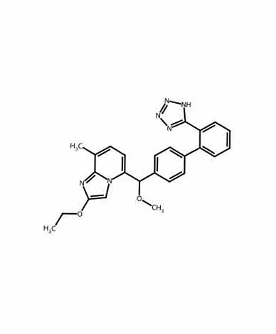 CCOc1cn2c(C(OC)c3ccc(-c4ccccc4-c4nnn[nH]4)cc3)ccc(C)c2n1